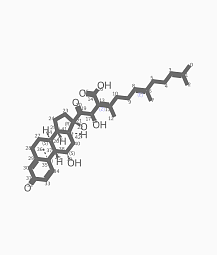 CC(C)=CCC/C(C)=C/CC/C(C)=C(\C(=O)O)C(O)C(=O)[C@@]1(O)CC[C@H]2[C@@H]3CCC4=CC(=O)C=C[C@]4(C)[C@H]3[C@@H](O)C[C@@]21C